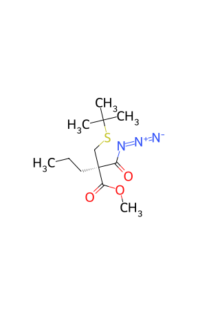 CCC[C@](CSC(C)(C)C)(C(=O)N=[N+]=[N-])C(=O)OC